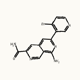 CCc1ccncc1-c1cc2cc(C(N)=O)ncc2c(N)n1